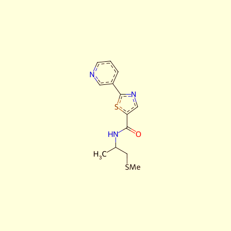 CSCC(C)NC(=O)c1cnc(-c2cccnc2)s1